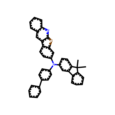 CC1(C)c2ccccc2-c2cc(N(c3ccc(-c4ccccc4)cc3)c3ccc4c(c3)sc3nc5ccccc5cc34)ccc21